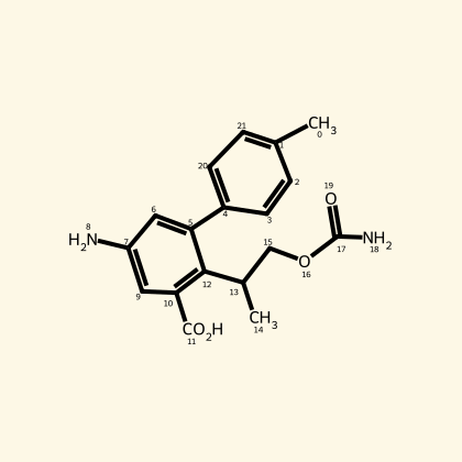 Cc1ccc(-c2cc(N)cc(C(=O)O)c2C(C)COC(N)=O)cc1